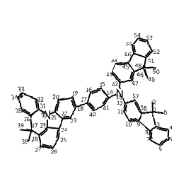 CC1(C)c2ccccc2-c2ccc(N(c3ccc(-c4ccc5c(c4)c4cccc6c4n5-c4ccccc4C6(C)C)cc3)c3ccc4c(c3)C(C)(C)c3ccccc3-4)cc21